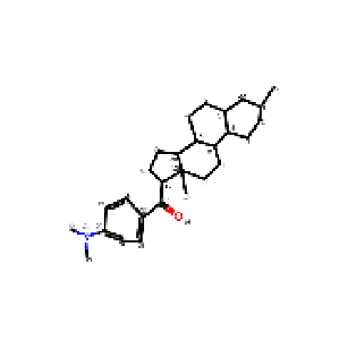 CC1CCC2C(CCC3C2CCC2(C)C(C(=O)c4ccc(N(C)C)cc4)CCC32)C1